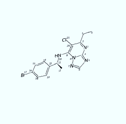 CCc1nc2ncnn2c(N[C@@H](C)c2ccc(Br)cc2)c1Cl